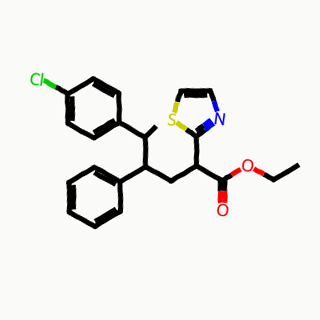 CCOC(=O)C(CC(c1ccccc1)C(C)c1ccc(Cl)cc1)c1nccs1